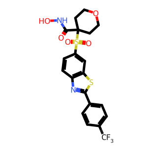 O=C(NO)C1(S(=O)(=O)c2ccc3nc(-c4ccc(C(F)(F)F)cc4)sc3c2)CCOCC1